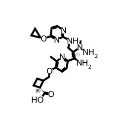 Cc1nc(/C(N)=C(\CNc2nccc(OC3CC3)n2)N(C)N)ccc1OCC1CC[C@H]1C(=O)O